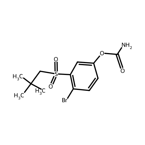 CC(C)(C)CS(=O)(=O)c1cc(OC(N)=O)ccc1Br